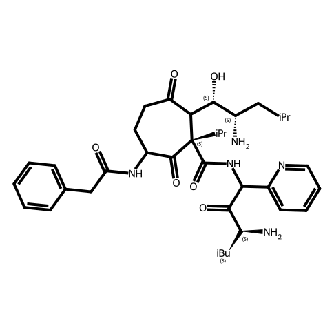 CC[C@H](C)[C@H](N)C(=O)C(NC(=O)[C@]1(C(C)C)C(=O)C(NC(=O)Cc2ccccc2)CCC(=O)C1[C@H](O)[C@@H](N)CC(C)C)c1ccccn1